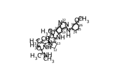 CNC(C)C(=O)NC(C(=O)N1CCCC1C(=O)Nc1cc2c(Nc3cccc(OC)c3)ncnc2cc1OC)C(C)(C)C